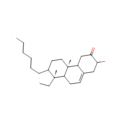 CC(C)CCC[C@@H](C)[C@H]1CC[C@H]2[C@@H]3CC=C4CC(O)C(=O)C[C@]4(C)[C@H]3CC[C@]12C